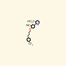 N#Cc1cc(-c2ncccc2C(=O)O)ccc1OCCCCc1ccc(C(F)(F)F)cc1